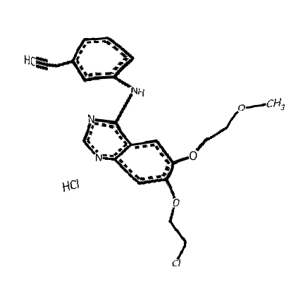 C#Cc1cccc(Nc2ncnc3cc(OCCCl)c(OCCOC)cc23)c1.Cl